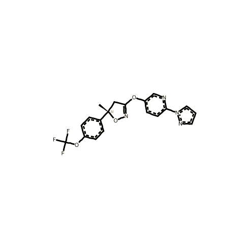 C[C@@]1(c2ccc(OC(F)(F)F)cc2)CC(Oc2ccc(-n3cccn3)nc2)=NO1